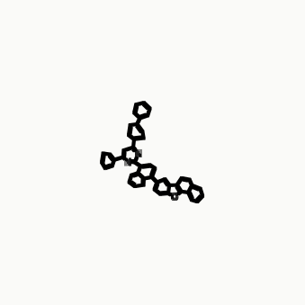 c1ccc(-c2ccc(-c3cc(-c4ccccc4)nc(-c4ccc(-c5ccc6oc7c8ccccc8ccc7c6c5)c5ccccc45)n3)cc2)cc1